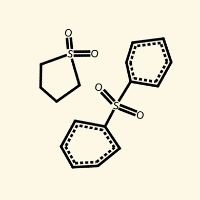 O=S(=O)(c1ccccc1)c1ccccc1.O=S1(=O)CCCC1